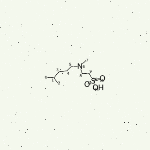 CC(C)CCCN(C)CCS(=O)(=O)O